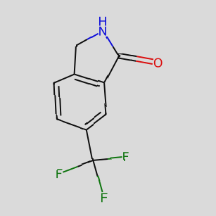 O=C1NCc2ccc(C(F)(F)F)cc21